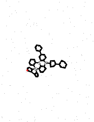 c1ccc(-c2ccc(N(c3ccc(-c4ccccc4)cc3)c3cccc4c3Sc3ccccc3[Si]43c4ccccc4-c4ccccc43)cc2)cc1